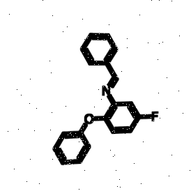 Fc1ccc(Oc2ccccc2)c(N=Cc2ccccc2)c1